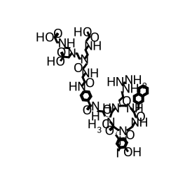 CN1C(=O)[C@@H](Cc2ccc(O)c(I)c2)NC(=O)CNC(=O)[C@H](Cc2ccc3ccccc3c2)NC(=O)[C@H](CCCNC(=N)N)NC(=O)[C@H]1CCCNC(=O)c1ccc(NC(=O)CNC(=O)CN(CCNCC(=O)O)CCN(CCNCC(=O)O)CC(=O)O)cc1